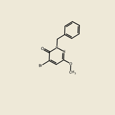 COc1cc(Br)c(=O)n(Cc2ccccc2)n1